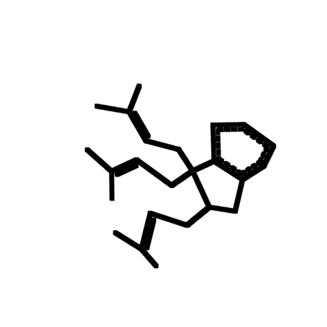 CC(C)=CCC1Cc2ccccc2C1(CC=C(C)C)CC=C(C)C